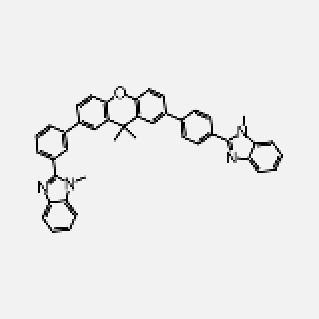 Cn1c(-c2ccc(-c3ccc4c(c3)C(C)(C)c3cc(-c5cccc(-c6nc7ccccc7n6C)c5)ccc3O4)cc2)nc2ccccc21